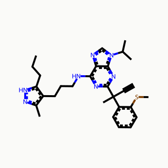 C#CC(C)(c1nc(NCCCc2c(C)n[nH]c2CCC)c2ncn(C(C)C)c2n1)c1ccccc1SC